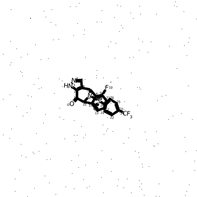 O=C1c2[nH]ncc2C2c3c(F)cccc3C1N2S(=O)(=O)c1ccc(C(F)(F)F)cc1